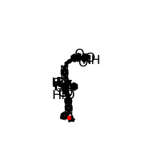 CC1(C)CCC(CN2CCN(c3ccc(C(=O)NS(=O)(=O)c4ccc(N[C@H](CCN5CCN(CCCC#Cc6ccc7c(c6)CN(C6CCC(=O)NC6=O)C7=O)CC5)CSc5ccccc5)c(S(=O)(=O)C(F)(F)F)c4)cc3)CC2)=C(C23CC(C)(C2)C3)C1